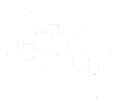 CS(=O)(=O)c1cccc(C(=O)N2CCC[C@@H]2C(=O)NC(c2ccc(C(F)(F)F)cc2)C2COC2)c1